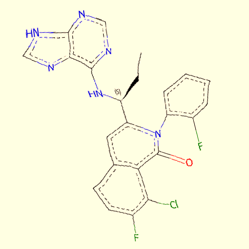 CC[C@H](Nc1ncnc2[nH]cnc12)c1cc2ccc(F)c(Cl)c2c(=O)n1-c1ccccc1F